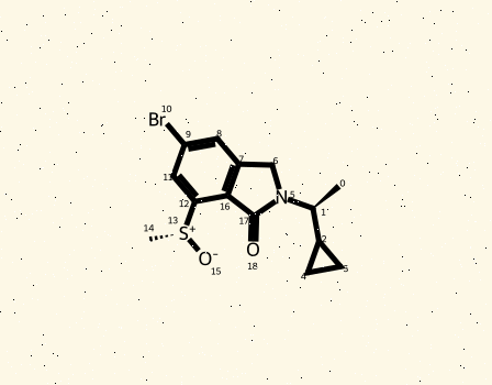 C[C@@H](C1CC1)N1Cc2cc(Br)cc([S@@+](C)[O-])c2C1=O